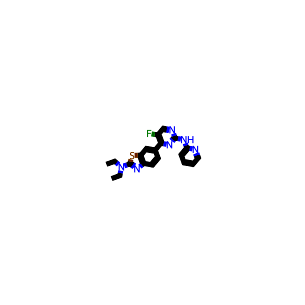 CCN(CC)c1nc2ccc(-c3nc(Nc4cc[c]cn4)ncc3F)cc2s1